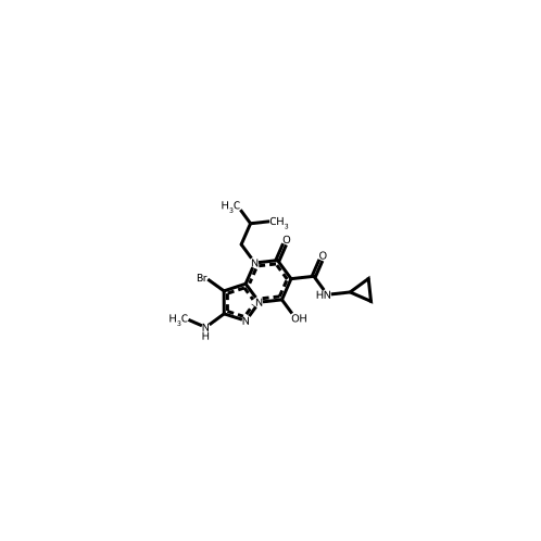 CNc1nn2c(O)c(C(=O)NC3CC3)c(=O)n(CC(C)C)c2c1Br